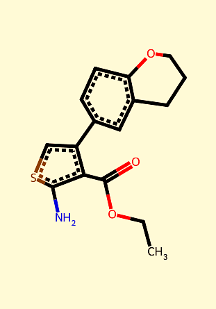 CCOC(=O)c1c(-c2ccc3c(c2)CCCO3)csc1N